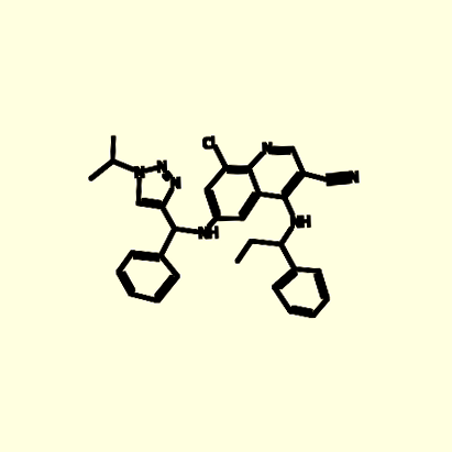 CCC(Nc1c(C#N)cnc2c(Cl)cc(NC(c3ccccc3)c3cn(C(C)C)nn3)cc12)c1ccccc1